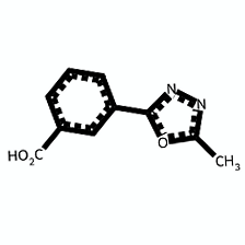 Cc1nnc(-c2cccc(C(=O)O)c2)o1